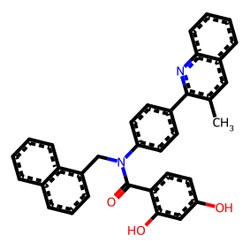 Cc1cc2ccccc2nc1-c1ccc(N(Cc2cccc3ccccc23)C(=O)c2ccc(O)cc2O)cc1